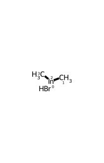 Br.[CH3][In][CH3]